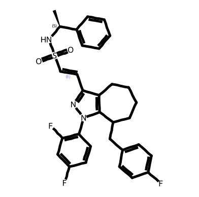 C[C@H](NS(=O)(=O)/C=C/c1nn(-c2ccc(F)cc2F)c2c1CCCCC2Cc1ccc(F)cc1)c1ccccc1